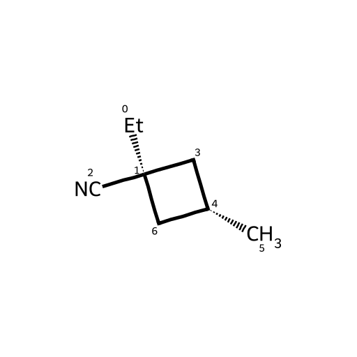 CC[C@]1(C#N)C[C@H](C)C1